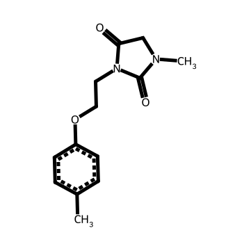 Cc1ccc(OCCN2C(=O)CN(C)C2=O)cc1